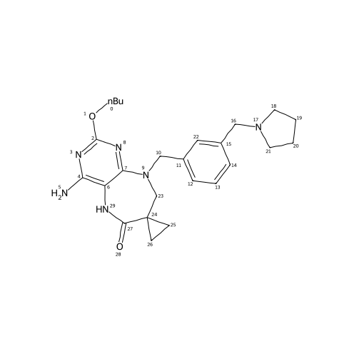 CCCCOc1nc(N)c2c(n1)N(Cc1cccc(CN3CCCC3)c1)CC1(CC1)C(=O)N2